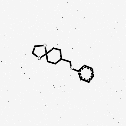 c1ccc(SCC2CCC3(CC2)OCCO3)cc1